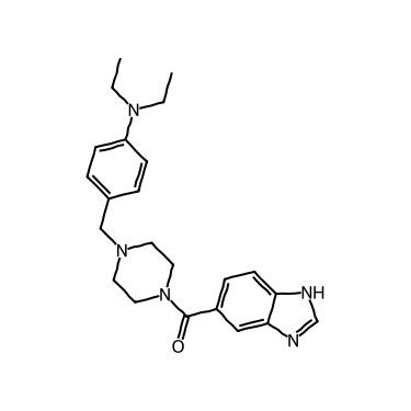 CCN(CC)c1ccc(CN2CCN(C(=O)c3ccc4[nH]cnc4c3)CC2)cc1